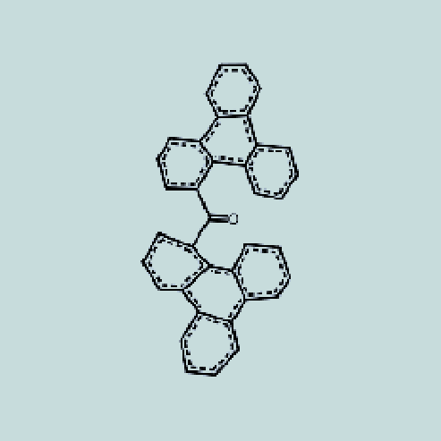 O=C(c1cccc2c3ccccc3c3ccccc3c12)c1cccc2c3ccccc3c3ccccc3c12